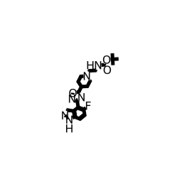 CC(C)(C)OC(=O)NCCN1CCC(c2nc(-c3c(F)ccc4[nH]ncc34)no2)CC1